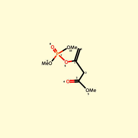 C=C(CC(=O)OC)OP(=O)(OC)OC